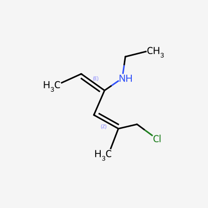 C/C=C(\C=C(\C)CCl)NCC